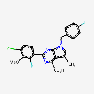 COc1c(Cl)ccc(-c2nc(C(=O)O)c3c(C)cn(Cc4ccc(F)cc4)c3n2)c1F